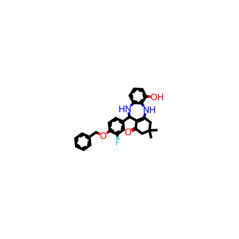 CC1(C)CC(=O)C2=C(C1)Nc1c(O)cccc1NC2c1ccc(OCc2ccccc2)c(F)c1